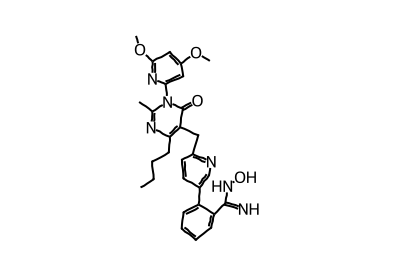 CCCCc1nc(C)n(-c2cc(OC)cc(OC)n2)c(=O)c1Cc1ccc(-c2ccccc2C(=N)NO)cn1